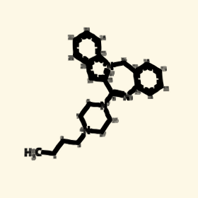 CCCCN1CCN(C2=Nc3ccccc3Cn3c2cc2ccccc23)CC1